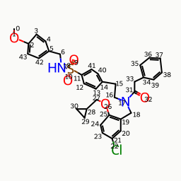 COc1ccc(CNS(=O)(=O)c2ccc(CCN(Cc3cc(Cl)ccc3OCC3CC3)C(=O)Cc3ccccc3)cc2)cc1